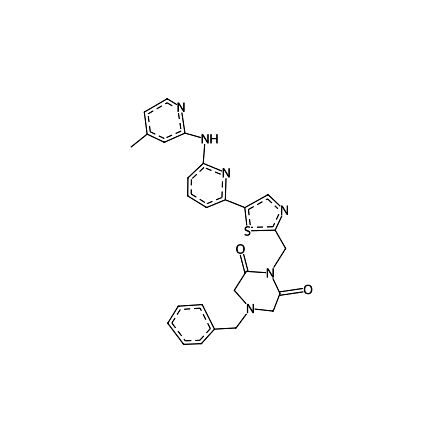 Cc1ccnc(Nc2cccc(-c3cnc(CN4C(=O)CN(Cc5ccccc5)CC4=O)s3)n2)c1